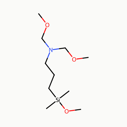 COCN(CCC[Si](C)(C)OC)COC